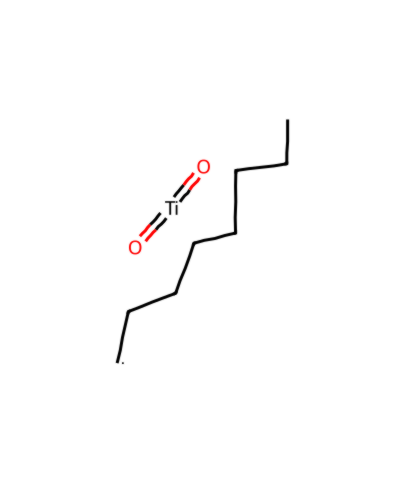 [CH2]CCCCCCC.[O]=[Ti]=[O]